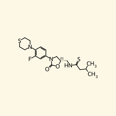 CC(C)CC(=S)NC[C@H]1CN(c2ccc(N3CCSCC3)c(F)c2)C(=O)O1